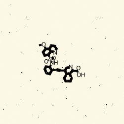 COc1ccc(S(=O)(=O)Nc2ccccc2C#Cc2cnc(C(=O)O)c3ccccc23)c2ncccc12